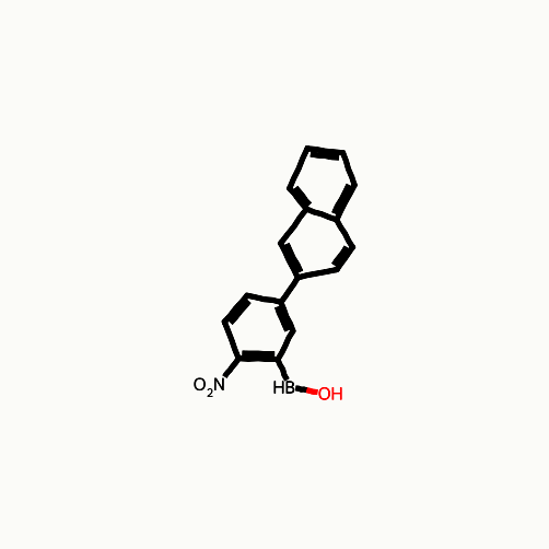 O=[N+]([O-])c1ccc(-c2ccc3ccccc3c2)cc1BO